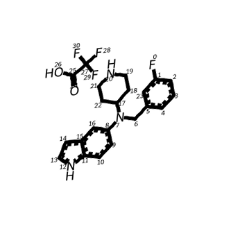 Fc1cccc(CN(c2ccc3[nH]ccc3c2)C2CCNCC2)c1.O=C(O)C(F)(F)F